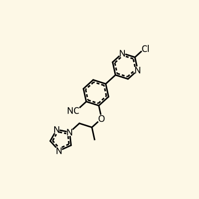 CC(Cn1cncn1)Oc1cc(-c2cnc(Cl)nc2)ccc1C#N